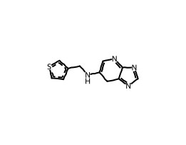 C1=NC2=NC=C(NCc3ccsc3)CC2=N1